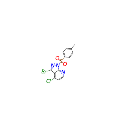 Cc1ccc(S(=O)(=O)n2nc(Br)c3c(Cl)ccnc32)cc1